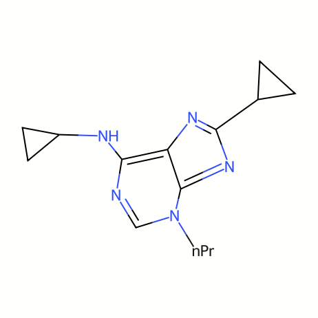 CCCn1cnc(NC2CC2)c2nc(C3CC3)nc1-2